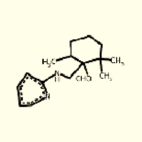 CC1CCCC(C)(C)C1(C=O)CNc1ccccn1